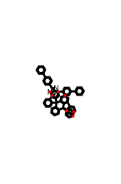 c1ccc(-c2ccc(-c3nc(-c4ccc(-c5ccccc5)cc4)nc(-c4ccccc4C4(c5ccccc5)c5ccccc5C5(c6ccccc6)c6ccccc6-c6cccc4c65)n3)cc2)cc1